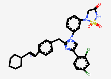 O=C1CN(c2cccc(-n3cc(-c4ccc(Cl)cc4Cl)nc3Cc3ccc(/C=C/C4CCCCC4)cc3)c2)S(=O)(=O)N1